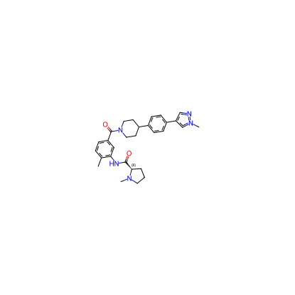 Cc1ccc(C(=O)N2CCC(c3ccc(-c4cnn(C)c4)cc3)CC2)cc1NC(=O)[C@H]1CCCN1C